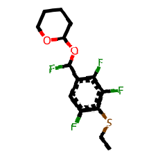 CCSc1c(F)cc(C(F)OC2CCCCO2)c(F)c1F